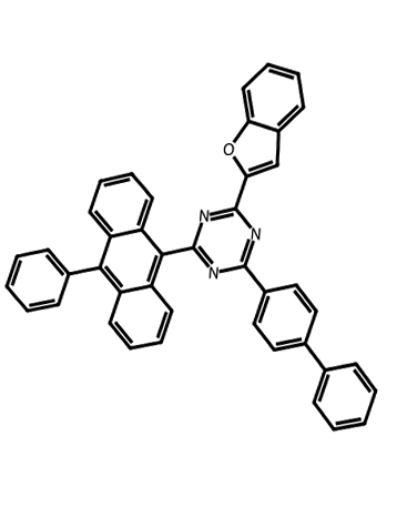 c1ccc(-c2ccc(-c3nc(-c4cc5ccccc5o4)nc(-c4c5ccccc5c(-c5ccccc5)c5ccccc45)n3)cc2)cc1